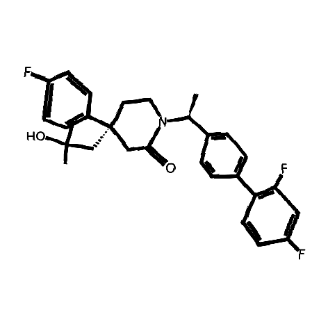 C[C@@H](c1ccc(-c2ccc(F)cc2F)cc1)N1CC[C@](CC(C)(C)O)(c2ccc(F)cc2)CC1=O